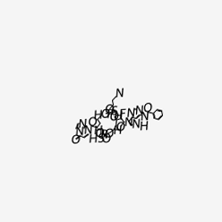 N#CCCOP1(=S)OC[C@@H]2C[C@@H](OP(=O)(S)OC[C@H]3O[C@@H](n4cnc5c(NC(=O)c6ccccc6)ncnc54)[C@@H](F)[C@@H]3O1)[C@H](n1ccc(=O)n3ccnc13)O2